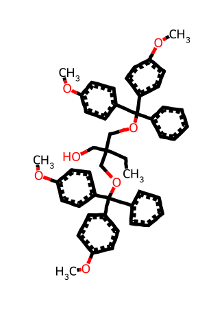 CCC(CO)(COC(c1ccccc1)(c1ccc(OC)cc1)c1ccc(OC)cc1)COC(c1ccccc1)(c1ccc(OC)cc1)c1ccc(OC)cc1